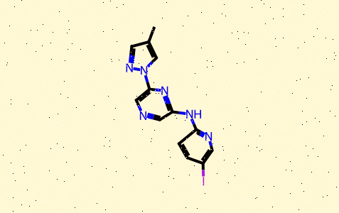 Cc1cnn(-c2cncc(Nc3ccc(I)cn3)n2)c1